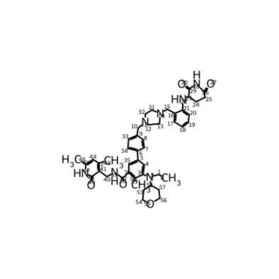 CCN(c1cc(-c2ccc(CN3CCN(Cc4ccccc4NC4CCC(=O)NC4=O)CC3)cc2)cc(C(=O)NCc2c(C)cc(C)[nH]c2=O)c1C)C1CCOCC1